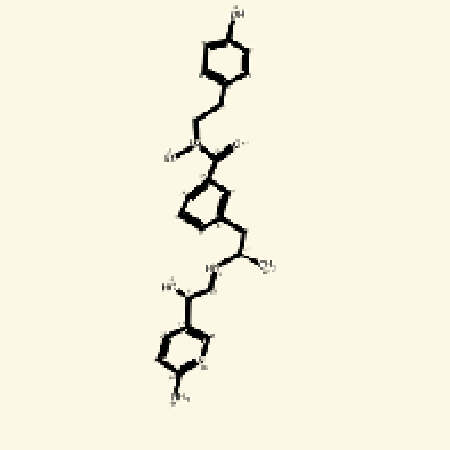 CCN(CCc1ccc(O)cc1)C(=O)c1cccc(C[C@@H](C)NC[C@H](O)c2ccc(N)nc2)c1